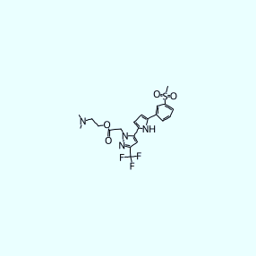 CN(C)CCOC(=O)Cn1nc(C(F)(F)F)cc1-c1ccc(-c2cccc(S(C)(=O)=O)c2)[nH]1